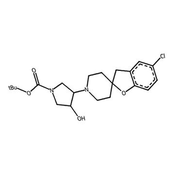 CC(C)(C)OC(=O)N1CC(O)C(N2CCC3(CC2)Cc2cc(Cl)ccc2O3)C1